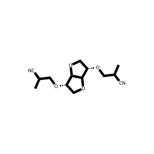 CC(C#N)CO[C@H]1COC2C1OC[C@@H]2OCC(C)C#N